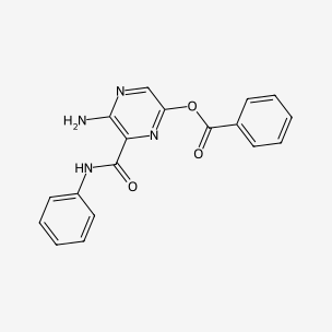 Nc1ncc(OC(=O)c2ccccc2)nc1C(=O)Nc1ccccc1